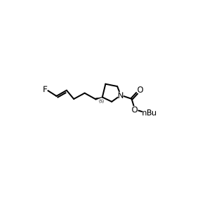 CCCCOC(=O)N1CC[C@H](CCCC=CF)C1